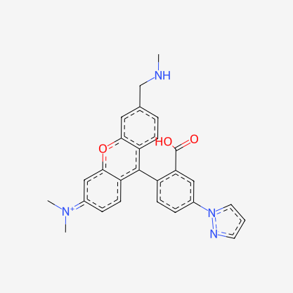 CNCc1ccc2c(-c3ccc(-n4cccn4)cc3C(=O)O)c3ccc(=[N+](C)C)cc-3oc2c1